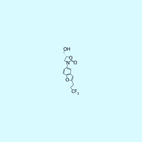 O=C1O[C@@H](CO)CN1c1ccc2oc(CCC(F)(F)F)cc2c1